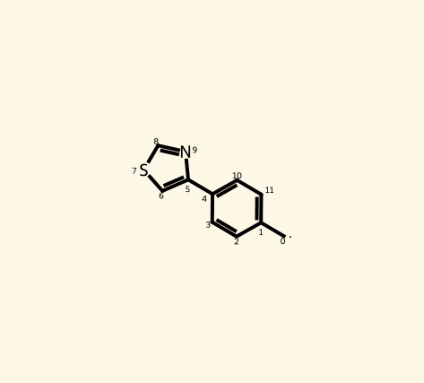 [CH2]c1ccc(-c2cscn2)cc1